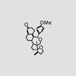 C=C1CCO[C@]12CCC1C3CCC4=CC(=O)CCC4=C3[C@@H](c3ccc(OC)cc3)OC[C@@]12C